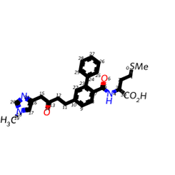 CSCCC(NC(=O)c1ccc(CCC(=O)Cc2cn(C)cn2)cc1-c1ccccc1)C(=O)O